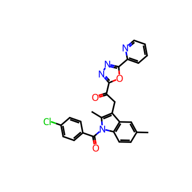 Cc1ccc2c(c1)c(CC(=O)c1nnc(-c3ccccn3)o1)c(C)n2C(=O)c1ccc(Cl)cc1